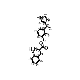 Cc1c(COC(=O)C(N)Cc2ccccc2)cccc1C(C)c1c[nH]cn1